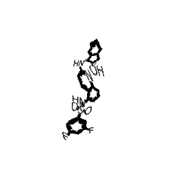 O=S(=O)(Nc1cccc2nc(N[C@@H]3c4ccccc4C[C@@H]3O)ccc12)c1cc(F)cc(F)c1